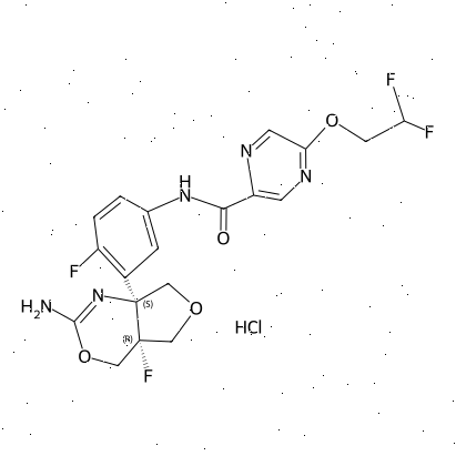 Cl.NC1=N[C@@]2(c3cc(NC(=O)c4cnc(OCC(F)F)cn4)ccc3F)COC[C@@]2(F)CO1